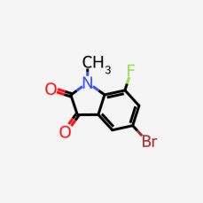 CN1C(=O)C(=O)c2cc(Br)cc(F)c21